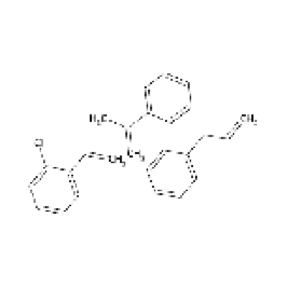 C=C(C)c1ccccc1.C=CCc1ccccc1.C=Cc1ccccc1Cl